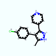 Cc1[nH]nc(-c2ccncc2)c1-c1ccc(Cl)cc1